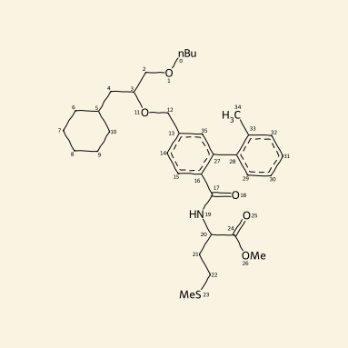 CCCCOCC(CC1CCCCC1)OCc1ccc(C(=O)NC(CCSC)C(=O)OC)c(-c2ccccc2C)c1